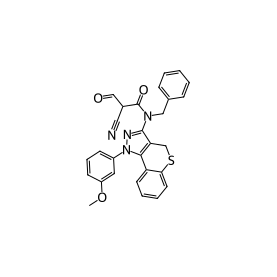 COc1cccc(-n2nc(N(Cc3ccccc3)C(=O)C(C#N)C=O)c3c2-c2ccccc2SC3)c1